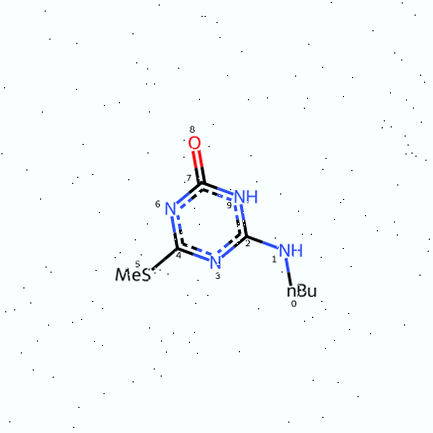 CCCCNc1nc(SC)nc(=O)[nH]1